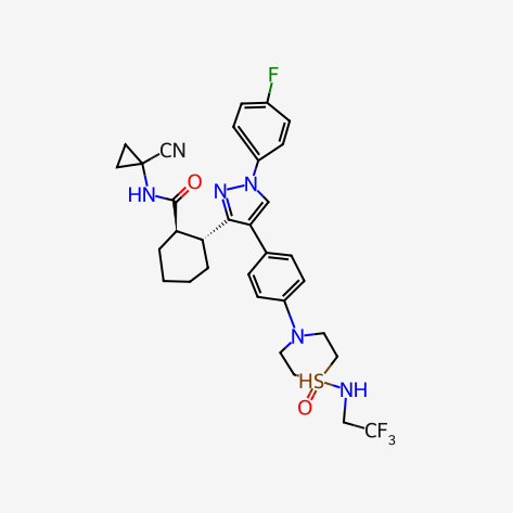 N#CC1(NC(=O)[C@@H]2CCCC[C@H]2c2nn(-c3ccc(F)cc3)cc2-c2ccc(N3CC[SH](=O)(NCC(F)(F)F)CC3)cc2)CC1